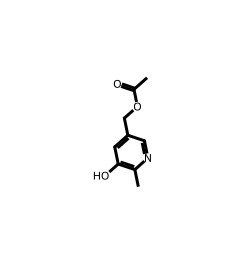 CC(=O)OCc1cnc(C)c(O)c1